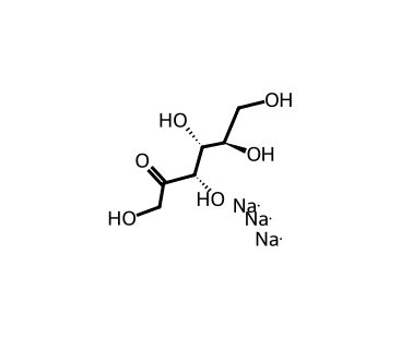 O=C(CO)[C@@H](O)[C@H](O)[C@H](O)CO.[Na].[Na].[Na]